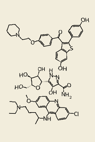 CCN(CC)CCCC(C)Nc1c2ccc(Cl)cc2nc2ccc(OC)cc12.NC(=O)c1n[nH]c([C@@H]2O[C@H](CO)[C@@H](O)[C@H]2O)c1O.O=C(c1ccc(OCCN2CCCCC2)cc1)c1c(-c2ccc(O)cc2)sc2cc(O)ccc12